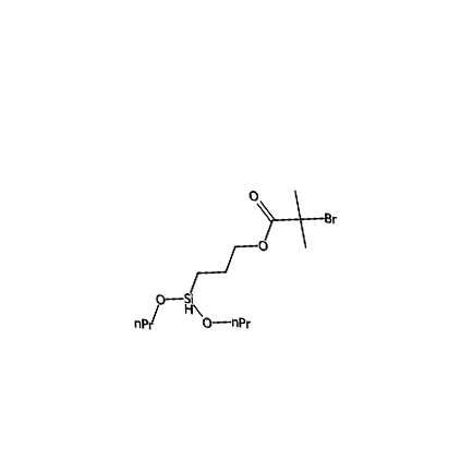 CCCO[SiH](CCCOC(=O)C(C)(C)Br)OCCC